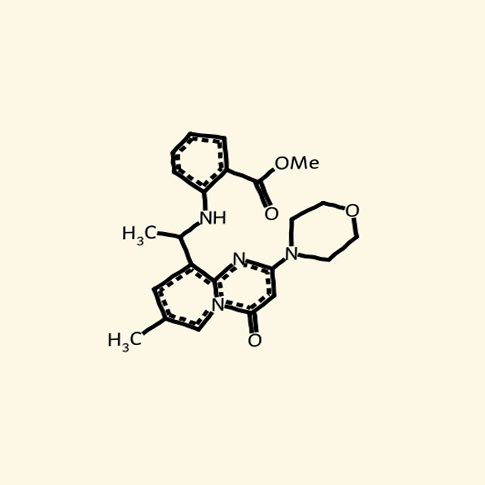 COC(=O)c1ccccc1NC(C)c1cc(C)cn2c(=O)cc(N3CCOCC3)nc12